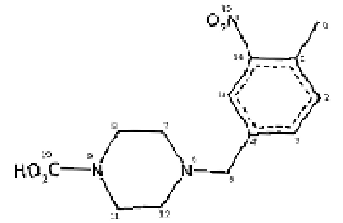 Cc1ccc(CN2CCN(C(=O)O)CC2)cc1[N+](=O)[O-]